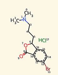 CN(C)CCCC1OC(=O)c2cc(Br)ccc21.Cl